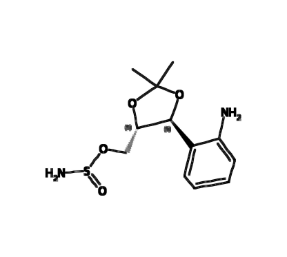 CC1(C)O[C@@H](COS(N)=O)[C@H](c2ccccc2N)O1